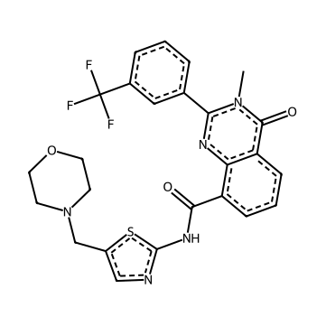 Cn1c(-c2cccc(C(F)(F)F)c2)nc2c(C(=O)Nc3ncc(CN4CCOCC4)s3)cccc2c1=O